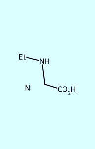 CCNCC(=O)O.[N]